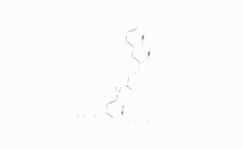 O=C(COc1ccc2ccccc2c1)Nc1cc(C(=O)O)cc(C(=O)O)c1